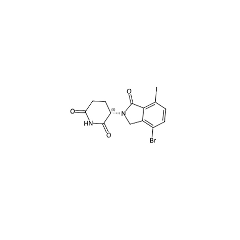 O=C1CC[C@H](N2Cc3c(Br)ccc(I)c3C2=O)C(=O)N1